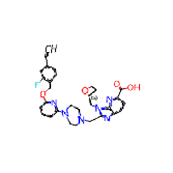 C#Cc1ccc(COc2cccc(N3CCN(Cc4nc5ccc(C(=O)O)nc5n4C[C@@H]4CCO4)CC3)n2)c(F)c1